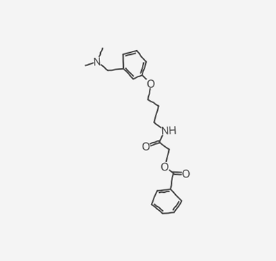 CN(C)Cc1cccc(OCCCNC(=O)COC(=O)c2ccccc2)c1